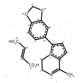 CC1=NCCn2c1ccc2-c1ccc2c(c1)OCO2.O=C(O)C=CC(=O)O